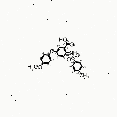 COc1ccc(Oc2ccc(NS(=O)(=O)c3ccc(C)cc3)c(C(=O)O)c2)cc1